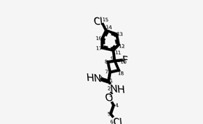 N=C(NOCCCl)C1CC(F)(c2ccc(Cl)cc2)C1